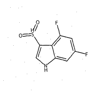 O=[SH](=O)c1c[nH]c2cc(F)cc(F)c12